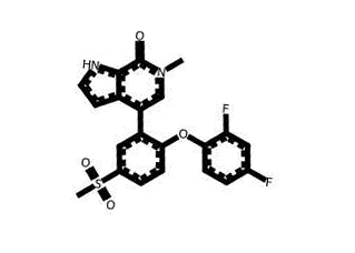 Cn1cc(-c2cc(S(C)(=O)=O)ccc2Oc2ccc(F)cc2F)c2cc[nH]c2c1=O